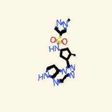 C[C@@H]1C[C@H](NS(=O)(=O)c2cnn(C)c2)CC1c1nnc2cnc3[nH]ccc3n12